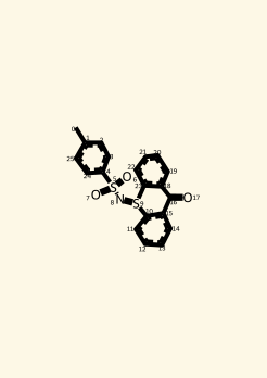 Cc1ccc(S(=O)(=O)N=S2c3ccccc3C(=O)c3ccccc32)cc1